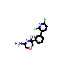 CC1(c2cccc(-c3ccc(F)nc3F)c2)COCC(N)=N1